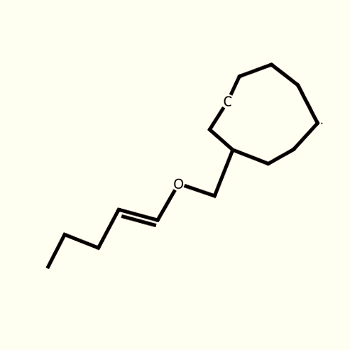 CCCC=COCC1CC[CH]CCCCC1